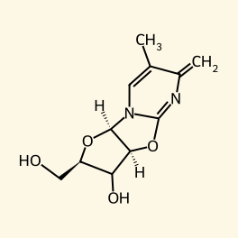 C=C1N=C2O[C@H]3C(O)[C@@H](CO)O[C@H]3N2C=C1C